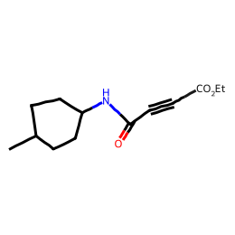 CCOC(=O)C#CC(=O)NC1CCC(C)CC1